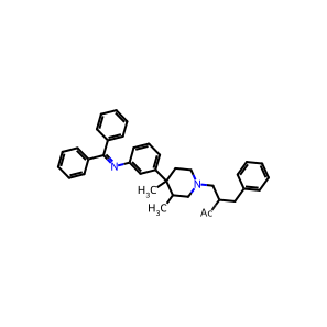 CC(=O)C(Cc1ccccc1)CN1CCC(C)(c2cccc(N=C(c3ccccc3)c3ccccc3)c2)C(C)C1